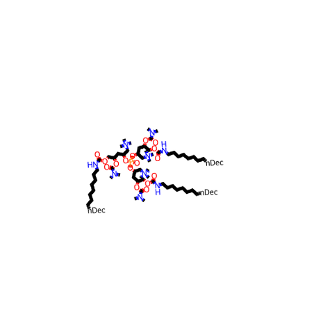 CCCCCCCCCCCCCCCCCCNC(=O)OCC(CC(C[N+](C)(C)C)OP(=O)(OC(CC(COC(=O)NCCCCCCCCCCCCCCCCCC)OC(=O)N(C)C)C[N+](C)(C)C)OC(CC(COC(=O)NCCCCCCCCCCCCCCCCCC)OC(=O)N(C)C)C[N+](C)(C)C)OC(=O)N(C)C